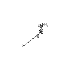 Nc1ccn(C[C@H]2COP(=O)(OCCC[S+]([O-])CCCCCCCCCCCCCCC3CCC3)CO2)c(=O)n1